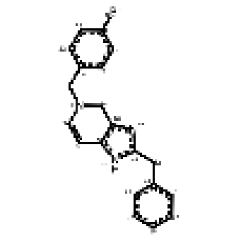 Brc1ccc(CN2C=Cc3[nH]c(Cc4ccccc4)nc3C2)cc1